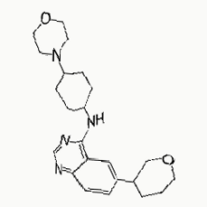 c1nc(NC2CCC(N3CCOCC3)CC2)c2cc(C3CCCOC3)ccc2n1